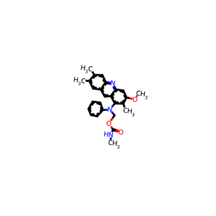 CNC(=O)OCN(c1ccccc1)c1c(C)c(OC)cc2nc3cc(C)c(C)cc3cc12